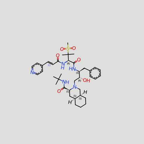 CC(C)(C)NC(=O)[C@@H]1C[C@@H]2CCCC[C@@H]2CN1C[C@@H](O)[C@H](Cc1ccccc1)NC(=O)[C@@H](NC(=O)/C=C/c1ccncc1)C(C)(C)S(C)(=O)=O